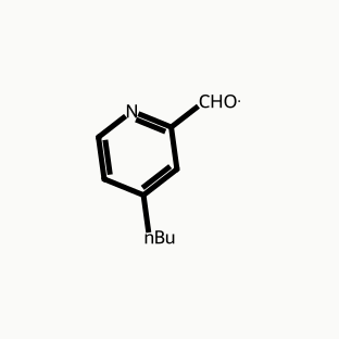 CCCCc1ccnc([C]=O)c1